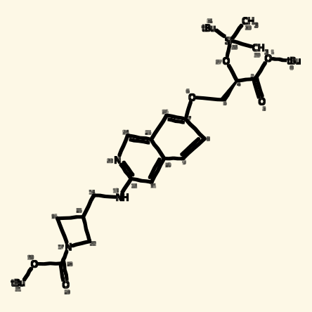 CC(C)(C)OC(=O)[C@@H](COc1ccc2cc(NCC3CN(C(=O)OC(C)(C)C)C3)ncc2c1)O[Si](C)(C)C(C)(C)C